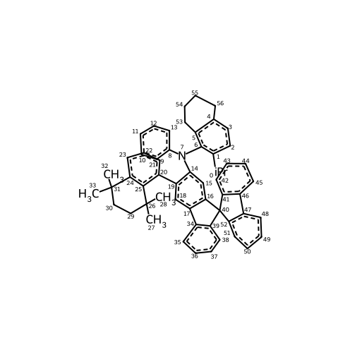 CC(C)c1ccc2c(c1N(c1ccccc1)c1cc3c(cc1-c1cccc4c1C(C)(C)CCC4(C)C)-c1ccccc1C31c3ccccc3-c3ccccc31)CCCC2